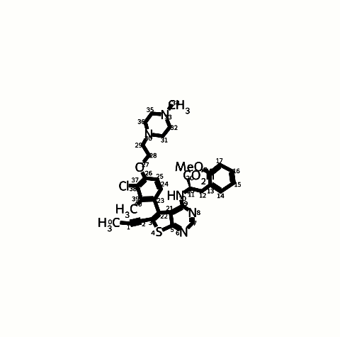 CC#Cc1sc2ncnc(N[C@H](Cc3ccccc3OC)C(=O)O)c2c1-c1ccc(OCCN2CCN(C)CC2)c(Cl)c1C